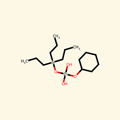 CCC[Si](CCC)(CCC)[O][Zr]([OH])([OH])[O]C1CCCCC1